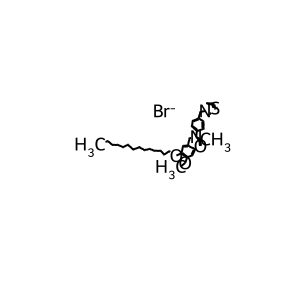 CCCCCCCCCCCCCCOc1cc(CN(C(C)=O)c2ccc(C[n+]3ccsc3)cc2)ccc1OC.[Br-]